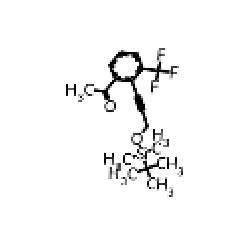 CC(=O)c1cccc(C(F)(F)F)c1C#CCO[Si](C)(C)C(C)(C)C